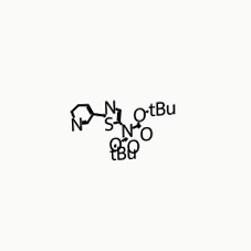 CC(C)(C)OC(=O)N(C(=O)OC(C)(C)C)c1cnc(C2=CCCN=C2)s1